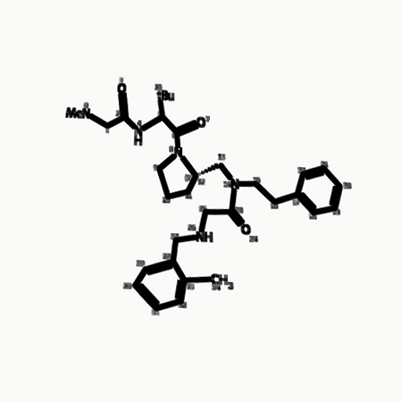 CNCC(=O)NC(C(=O)N1CCC[C@H]1CN(CCc1ccccc1)C(=O)CNCc1ccccc1C)C(C)(C)C